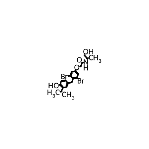 CC(CO)NC(=O)COc1cc(Br)c(Cc2ccc(O)c(C(C)C)c2)c(Br)c1